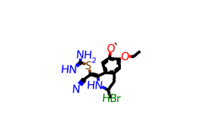 Br.CCOc1cc2c(cc1OC)C(=C(C#N)SC(=N)N)NC(C)C2